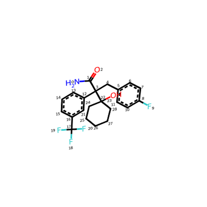 NC(=O)C(Cc1ccc(F)cc1)(c1cccc(C(F)(F)F)c1)C1(O)CCCCC1